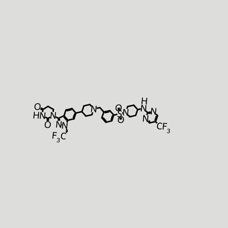 O=C1CCN(c2nn(CC(F)(F)F)c3cc(C4CCN(Cc5cccc(S(=O)(=O)N6CCC(Nc7ncc(C(F)(F)F)cn7)CC6)c5)CC4)ccc23)C(=O)N1